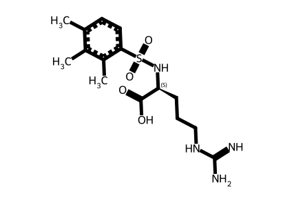 Cc1ccc(S(=O)(=O)N[C@@H](CCCNC(=N)N)C(=O)O)c(C)c1C